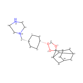 COC1(OO[C@H]2CC[C@@H](CN3CCNCC3)CC2)C2CC3CC(C2)CC1C3